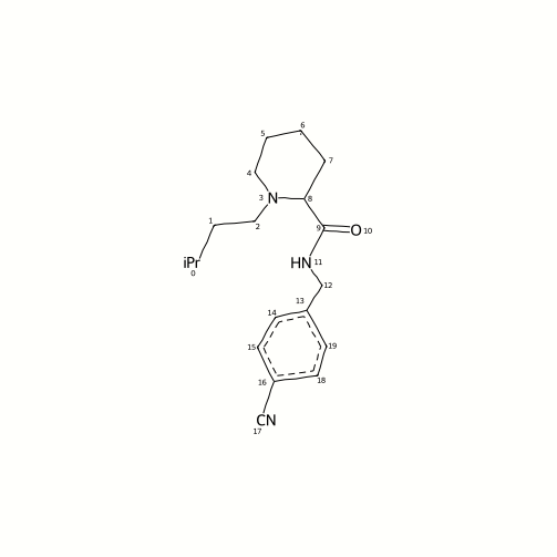 CC(C)CCN1CC[CH]CC1C(=O)NCc1ccc(C#N)cc1